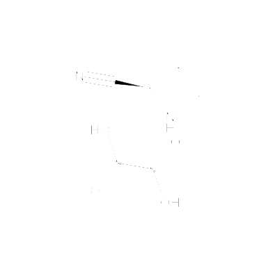 N#C[C@H]1CCN1.O=C(O)C(=O)O